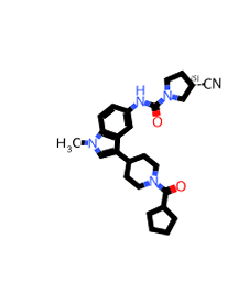 Cn1cc(C2CCN(C(=O)C3CCCC3)CC2)c2cc(NC(=O)N3CC[C@H](C#N)C3)ccc21